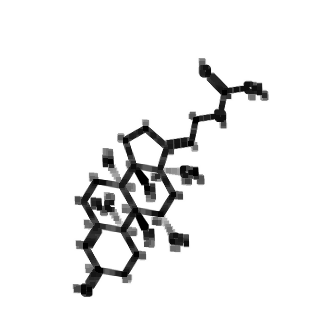 CC(=O)OC/C=C1\CC[C@H]2[C@@H]3CCC4=CC(=O)CC[C@]4(C)[C@H]3[C@@H](O)C[C@]12C